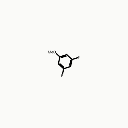 COc1[c]c(F)cc(F)c1